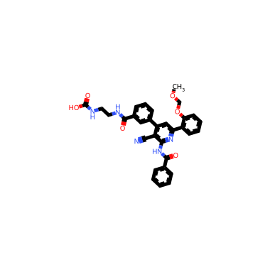 COCOc1ccccc1-c1cc(-c2cccc(C(=O)NCCNC(=O)O)c2)c(C#N)c(NC(=O)c2ccccc2)n1